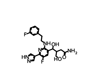 NC(=O)CC(CO)C(O)c1cc(F)c(-c2cn[nH]c2)nc1NCCc1cccc(F)c1